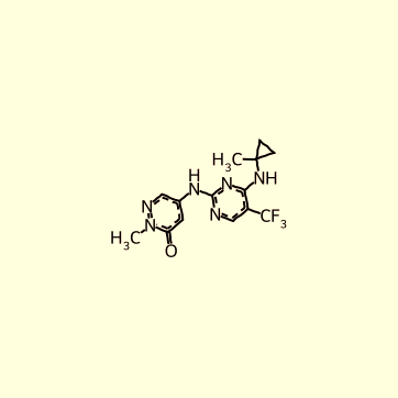 Cn1ncc(Nc2ncc(C(F)(F)F)c(NC3(C)CC3)n2)cc1=O